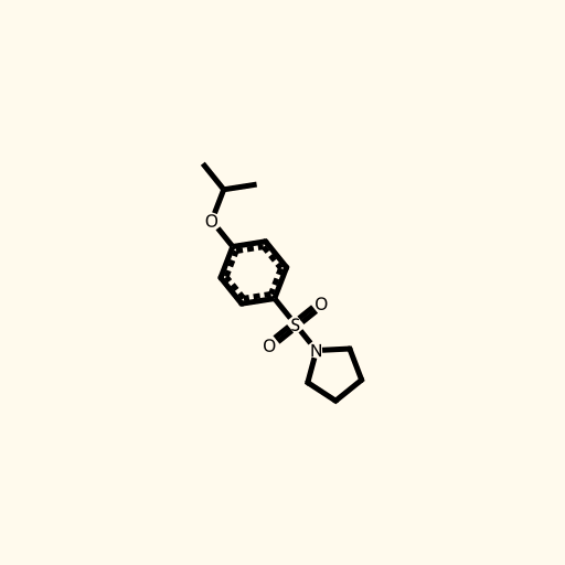 CC(C)Oc1ccc(S(=O)(=O)N2CCCC2)cc1